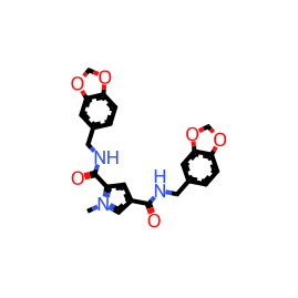 Cn1cc(C(=O)NCc2ccc3c(c2)OCO3)cc1C(=O)NCc1ccc2c(c1)OCO2